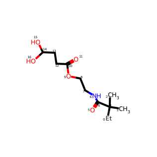 CCC(C)(C)C(=O)NCCOC(=O)CCC(O)O